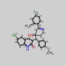 CSc1ccc(C(c2cc3cc(Cl)ccc3[nH]c2=O)C2(O)CCN=C(c3ccc(F)cc3C)C2)cc1